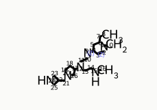 C=N/C=C\C(CCCC)=N/CCN(CCNC)C1CCN(CC2CNC2)C1